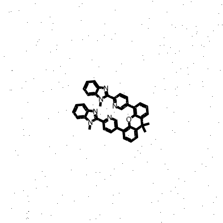 Cn1c(-c2ccc(-c3cccc4c3Oc3c(-c5ccc(-c6nc7ccccc7n6C)nc5)cccc3C4(C)C)cn2)nc2ccccc21